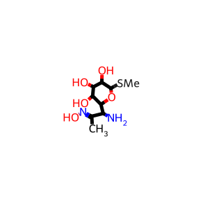 CSC1OC(C(N)C(C)=NO)C(O)C(O)C1O